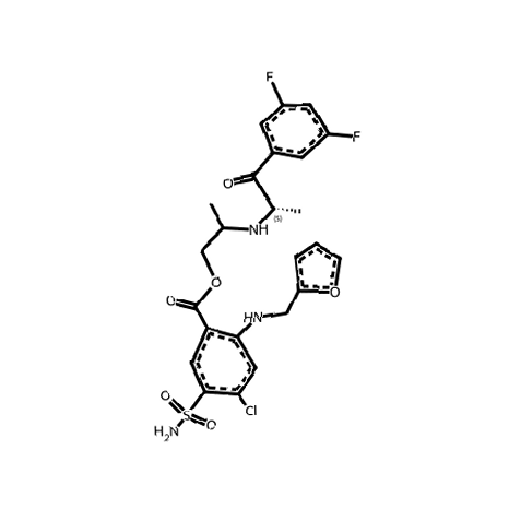 CC(COC(=O)c1cc(S(N)(=O)=O)c(Cl)cc1NCc1ccco1)N[C@@H](C)C(=O)c1cc(F)cc(F)c1